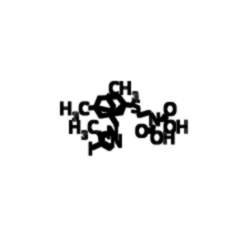 Cc1c(I)cnn1CC12CC3(C)CC(C)(C1)CC(SCCN(C(=O)O)C(=O)O)(C3)C2